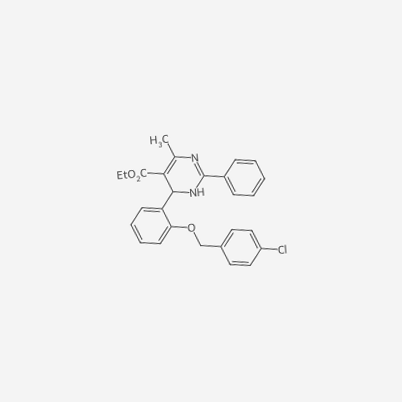 CCOC(=O)C1=C(C)N=C(c2ccccc2)NC1c1ccccc1OCc1ccc(Cl)cc1